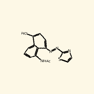 CC(=O)Nc1cccc2c(O)ccc(/N=N/c3nccs3)c12